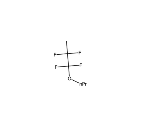 CCCOC(F)(F)C(C)(F)F